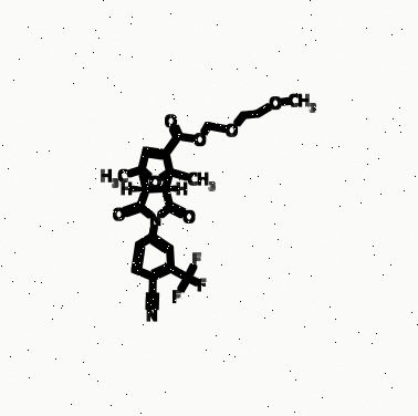 COCCOCOC(=O)C1=CC2(C)OC1(C)[C@@H]1C(=O)N(c3ccc(C#N)c(C(F)(F)F)c3)C(=O)[C@@H]12